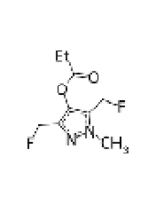 CCC(=O)Oc1c(CF)nn(C)c1CF